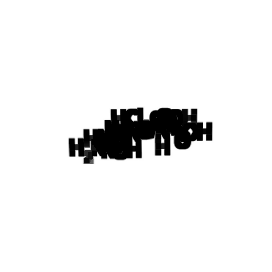 Cl.Nc1nc(=O)c2nc(CNc3ccc(C(=O)N[C@@H](CCC(=O)O)C(=O)O)cc3)cnc2[nH]1